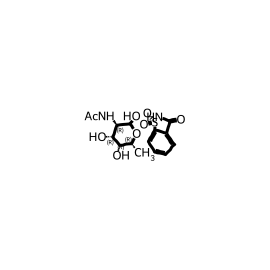 CC(=O)N[C@H]1C(O)O[C@H](C)[C@H](O)[C@@H]1O.O=C1NS(=O)(=O)c2ccccc21